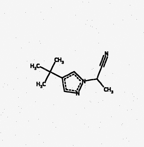 CC(C#N)n1cc(C(C)(C)C)cn1